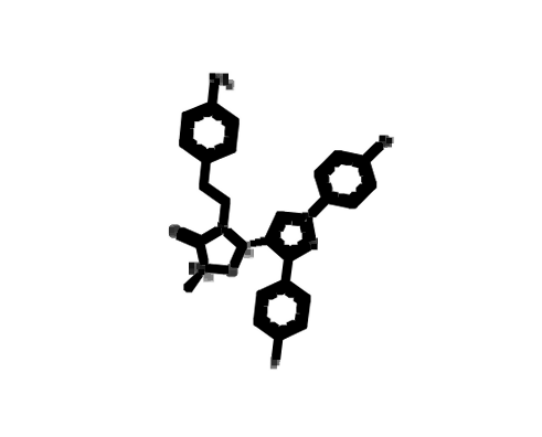 C[Si@@H]1O[C@@H](c2cn(-c3ccc(Br)cc3)nc2-c2ccc(F)cc2)N(CCc2ccc(N)cc2)C1=O